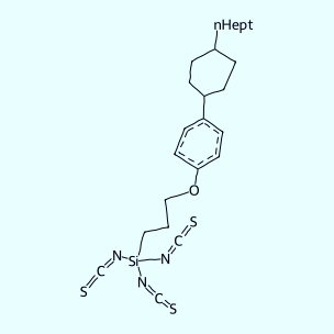 CCCCCCCC1CCC(c2ccc(OCCC[Si](N=C=S)(N=C=S)N=C=S)cc2)CC1